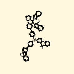 CC1(C)c2ccccc2-c2ccc(N(c3ccc(-c4ccc5c(c4)C4(c6ccccc6-5)c5ccc6ccccc6c5Oc5c4ccc4ccccc54)cc3)c3ccc(-c4ccc5oc6ccccc6c5c4)cc3)cc21